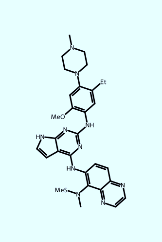 CCc1cc(Nc2nc(Nc3ccc4nccnc4c3N(C)SC)c3cc[nH]c3n2)c(OC)cc1N1CCN(C)CC1